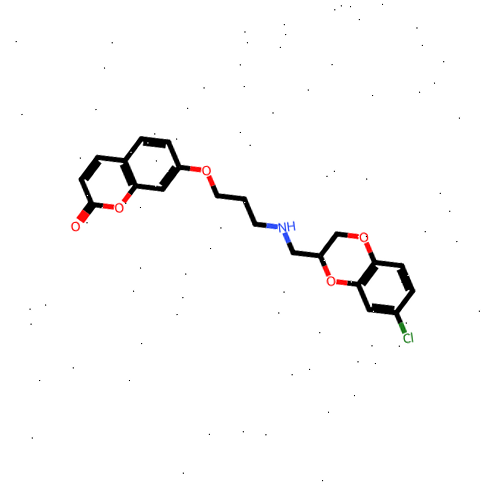 O=c1ccc2ccc(OCCCNCC3COc4ccc(Cl)cc4O3)cc2o1